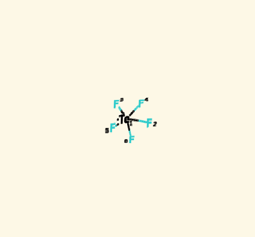 F[Te](F)(F)(F)F